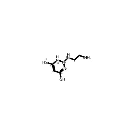 NCCNN1N=C(S)C=C(S)N1